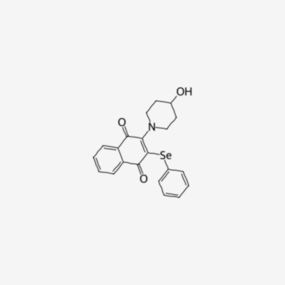 O=C1C([Se]c2ccccc2)=C(N2CCC(O)CC2)C(=O)c2ccccc21